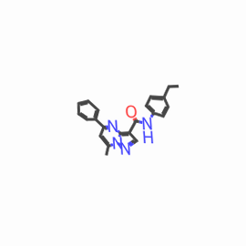 CCc1ccc(NC(=O)c2cnn3c(C)cc(-c4ccccc4)nc23)cc1